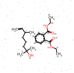 C=CC(C)CCCC(C)(C)O.CCOC(=O)c1ccccc1C(=O)OCC